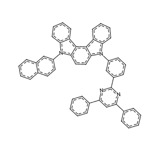 c1ccc(-c2cc(-c3ccccc3)nc(-c3cccc(-n4c5ccccc5c5c6c7ccccc7n(-c7ccc8ccccc8c7)c6ccc54)c3)n2)cc1